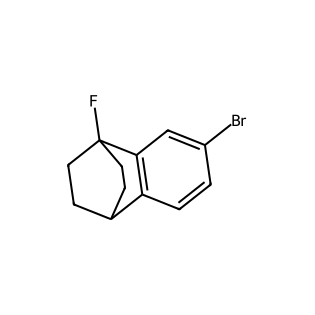 FC12CCC(CC1)c1ccc(Br)cc12